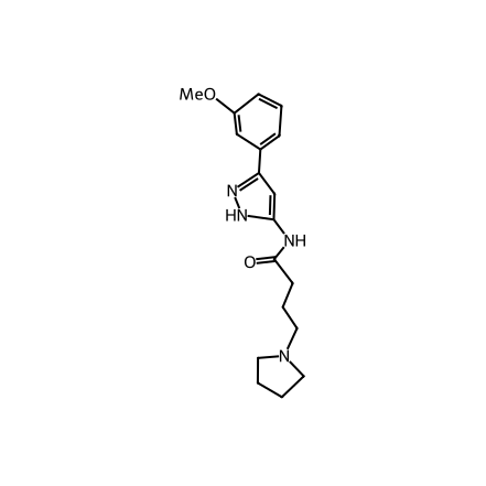 COc1cccc(-c2cc(NC(=O)CCCN3CCCC3)[nH]n2)c1